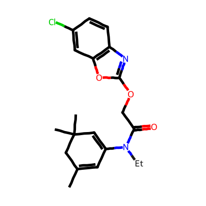 CCN(C(=O)COc1nc2ccc(Cl)cc2o1)C1=CC(C)(C)CC(C)=C1